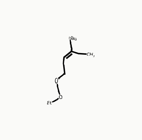 CCCC/C(C)=C/COOCC